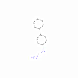 N=C=Nc1ccc(-c2ccccc2)cc1